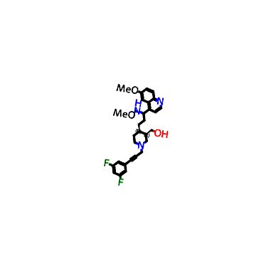 CONC(CC[C@@H]1CCN(CC#Cc2cc(F)cc(F)c2)C[C@@H]1CO)c1ccnc2ccc(OC)cc12